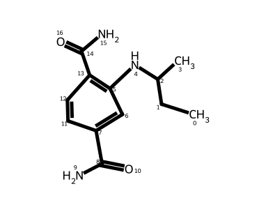 CCC(C)Nc1cc(C(N)=O)ccc1C(N)=O